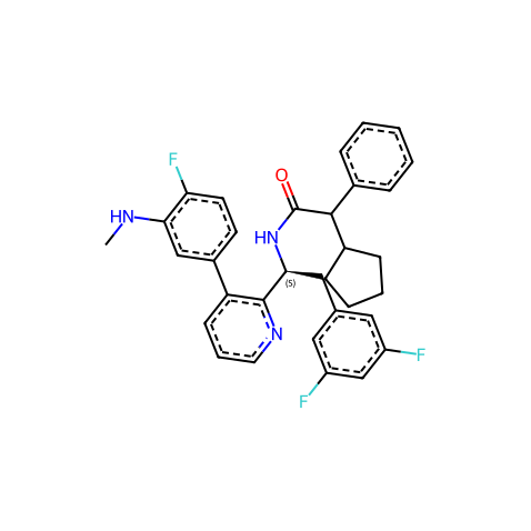 CNc1cc(-c2cccnc2[C@H](Cc2cc(F)cc(F)c2)NC(=O)C(c2ccccc2)C2CCCC2)ccc1F